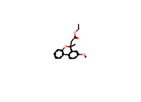 CCOC(=O)CC1(C)Oc2ccccc2-c2ccc(OC)cc21